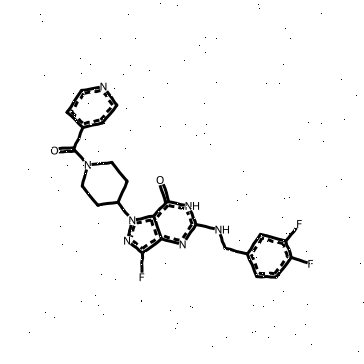 O=C(c1ccncc1)N1CCC(n2nc(F)c3nc(NCc4ccc(F)c(F)c4)[nH]c(=O)c32)CC1